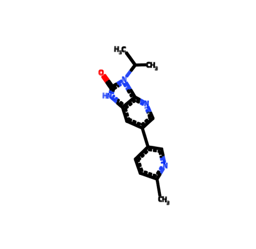 Cc1ccc(-c2cnc3c(c2)[nH]c(=O)n3C(C)C)cn1